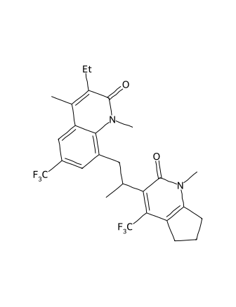 CCc1c(C)c2cc(C(F)(F)F)cc(CC(C)c3c(C(F)(F)F)c4c(n(C)c3=O)CCC4)c2n(C)c1=O